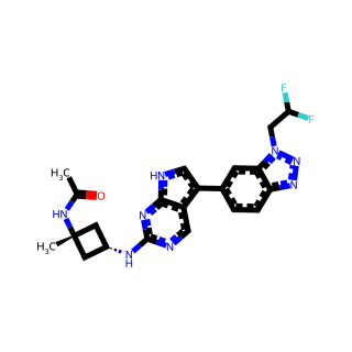 CC(=O)N[C@]1(C)C[C@H](Nc2ncc3c(-c4ccc5nnn(CC(F)F)c5c4)c[nH]c3n2)C1